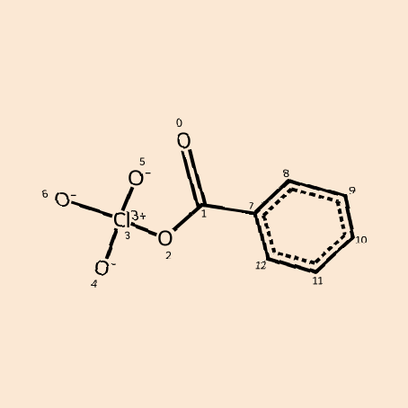 O=C(O[Cl+3]([O-])([O-])[O-])c1ccccc1